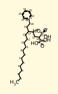 CCCCCCCCCCCCCC(CCC(P(=O)(O)O)P(=O)(O)O)CC[n+]1ccccc1